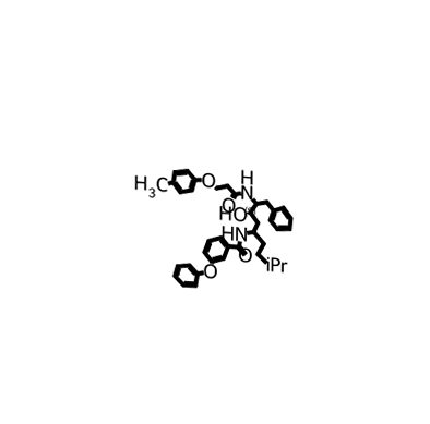 Cc1ccc(OCCC(=O)NC(Cc2ccccc2)[C@@H](O)CC(CCC(C)C)NC(=O)c2cccc(Oc3ccccc3)c2)cc1